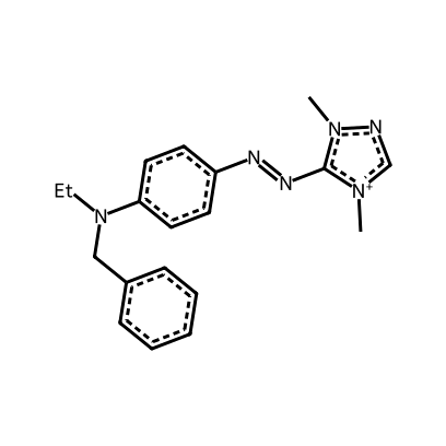 CCN(Cc1ccccc1)c1ccc(N=Nc2n(C)nc[n+]2C)cc1